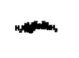 Nc1ccn(-c2ccc(CNC3CCC(N)C3)cc2)c(=O)n1